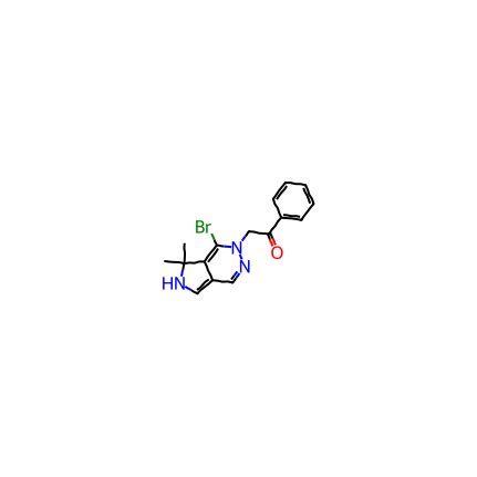 CC1(C)NC=C2C=NN(CC(=O)c3ccccc3)C(Br)=C21